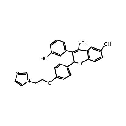 CC1=C(c2cccc(O)c2)C(c2ccc(OCCn3ccnc3)cc2)Oc2ccc(O)cc21